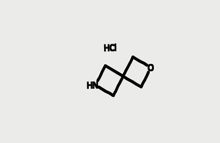 C1NCC12COC2.Cl